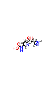 Cn1cc(C(C)(C)C(O)c2ccc(NC(=O)O)cn2)cn1